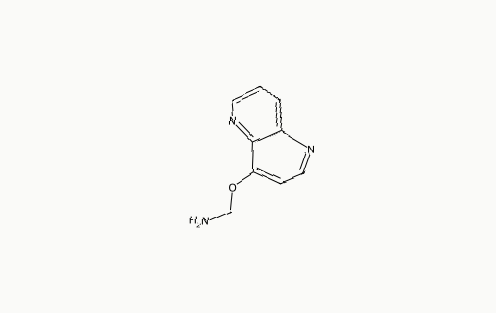 NCOc1ccnc2cccnc12